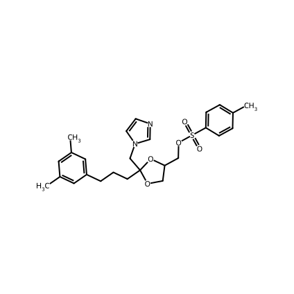 Cc1ccc(S(=O)(=O)OCC2COC(CCCc3cc(C)cc(C)c3)(Cn3ccnc3)O2)cc1